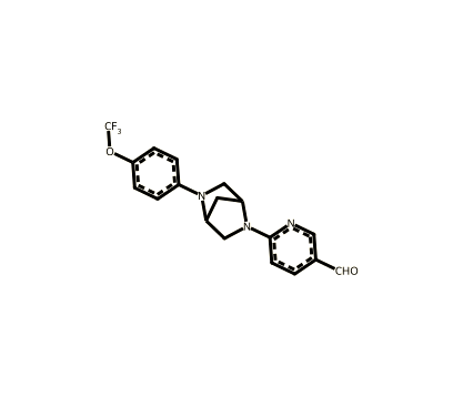 O=Cc1ccc(N2CC3CC2CN3c2ccc(OC(F)(F)F)cc2)nc1